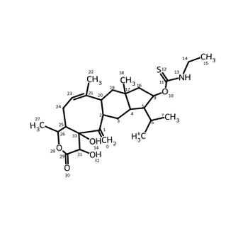 C=C1C2CC3C(C(C)C)C(OC(=S)NCC)CC3(C)CC2/C(C)=C\CC2C(C)OC(=O)C(O)C12O